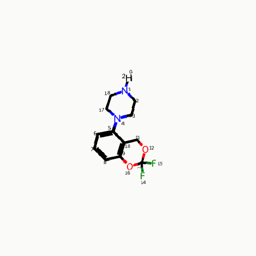 [2H]N1CCN(c2cccc3c2COC(F)(F)O3)CC1